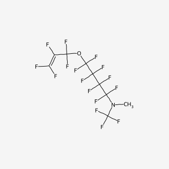 CN(C(F)(F)F)C(F)(F)C(F)(F)C(F)(F)C(F)(F)OC(F)(F)C(F)=C(F)F